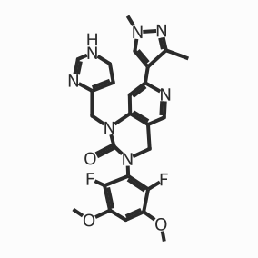 COc1cc(OC)c(F)c(N2Cc3cnc(-c4cn(C)nc4C)cc3N(CC3=CCNC=N3)C2=O)c1F